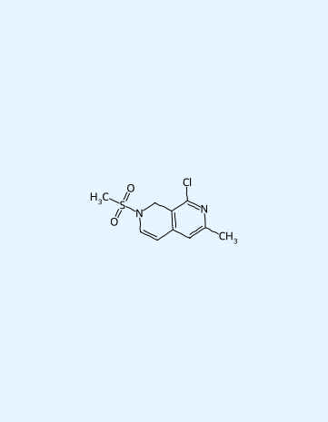 Cc1cc2c(c(Cl)n1)CN(S(C)(=O)=O)C=C2